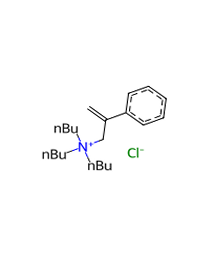 C=C(C[N+](CCCC)(CCCC)CCCC)c1ccccc1.[Cl-]